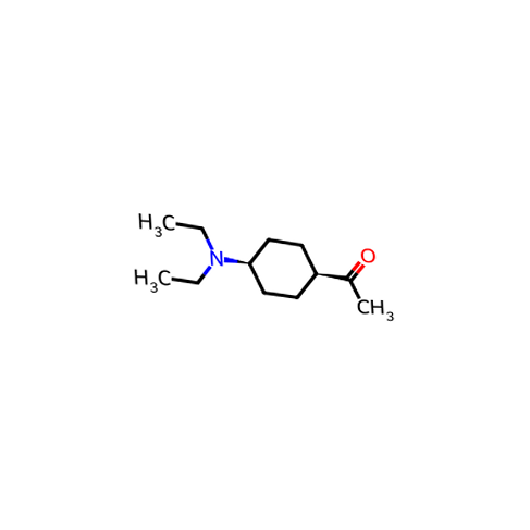 CCN(CC)[C@H]1CC[C@@H](C(C)=O)CC1